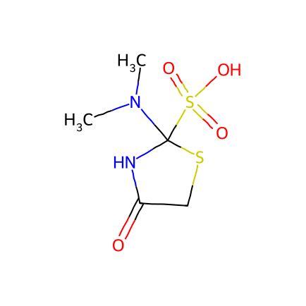 CN(C)C1(S(=O)(=O)O)NC(=O)CS1